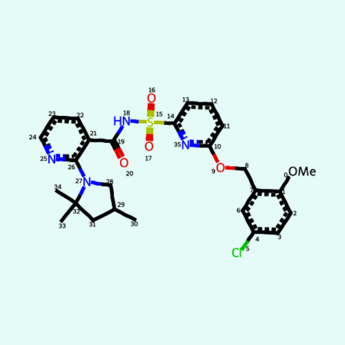 COc1ccc(Cl)cc1COc1cccc(S(=O)(=O)NC(=O)c2cccnc2N2CC(C)CC2(C)C)n1